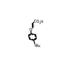 CC(C)(C)c1ccc(O/C=C/C(=O)O)cc1